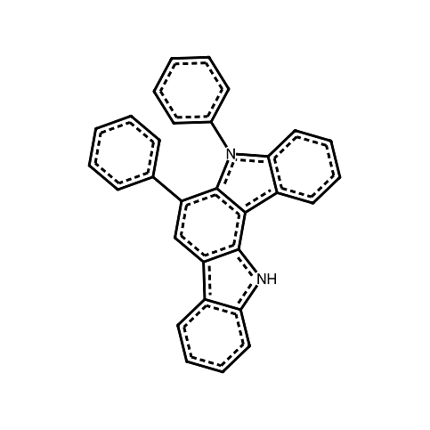 c1ccc(-c2cc3c4ccccc4[nH]c3c3c4ccccc4n(-c4ccccc4)c23)cc1